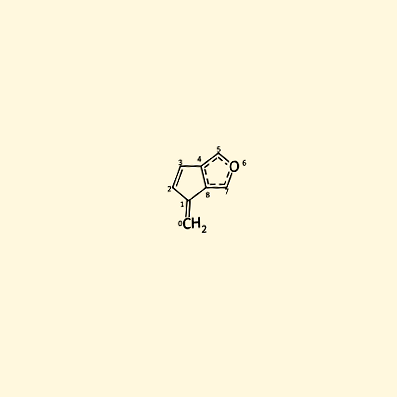 C=C1C=Cc2cocc21